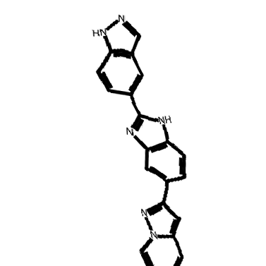 c1ccn2nc(-c3ccc4[nH]c(-c5ccc6[nH]ncc6c5)nc4c3)cc2c1